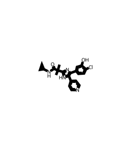 CC(C)(C(=O)NC1CC1)c1nc(-c2ccc(Cl)c(O)c2)c(-c2ccncc2)[nH]1